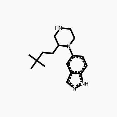 CC(C)(C)CCC1CNCCN1c1ccc2[nH]ncc2c1